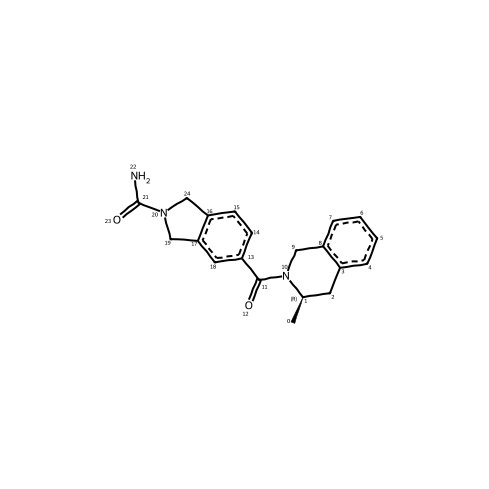 C[C@@H]1Cc2ccccc2CN1C(=O)c1ccc2c(c1)CN(C(N)=O)C2